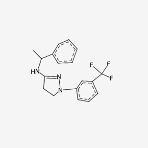 CC(NC1=NN(c2cccc(C(F)(F)F)c2)CC1)c1ccccc1